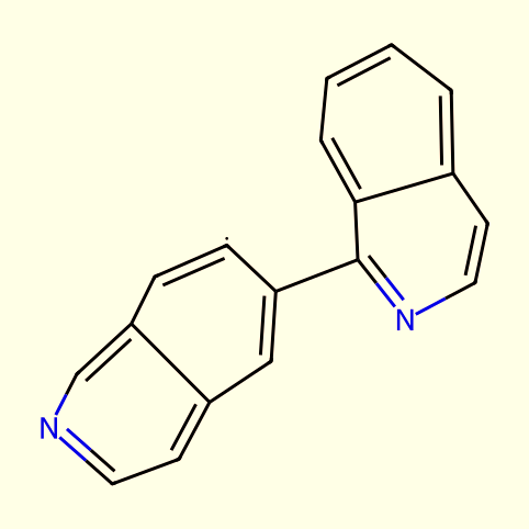 [c]1cc2cnccc2cc1-c1nccc2ccccc12